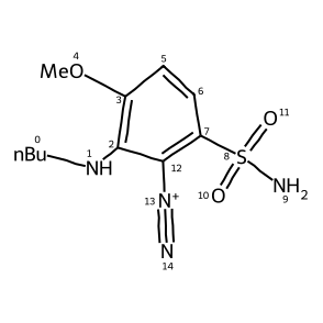 CCCCNc1c(OC)ccc(S(N)(=O)=O)c1[N+]#N